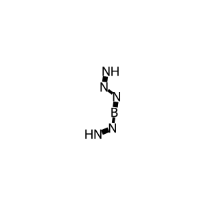 N=N/B=N/N=N